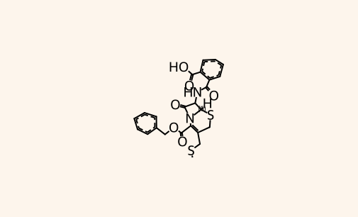 CSCC1=C(C(=O)OCc2ccccc2)N2C(=O)C(NC(=O)c3ccccc3C(=O)O)[C@@H]2SC1